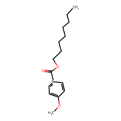 CCCCCCCCOC(=O)[si]1ccc(OC)cc1